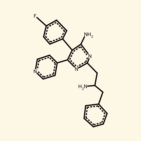 Nc1nc(CC(N)Cc2ccccc2)nc(-c2ccncc2)c1-c1ccc(F)cc1